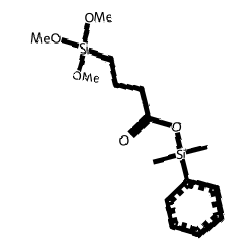 CO[Si](CCCC(=O)O[Si](C)(C)c1ccccc1)(OC)OC